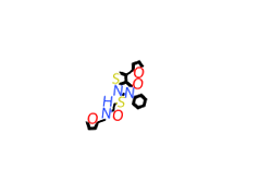 O=C(CSc1nc2scc(-c3ccco3)c2c(=O)n1-c1ccccc1)NCc1ccco1